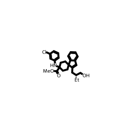 CC[C@@H](CO)CC1=Cc2ccccc2C12CCC(Nc1cccc(Cl)c1)(C(=O)OC)CC2